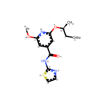 COC[C@H](C)Oc1cc(C(=O)Nc2nccs2)cc(OC(C)C)n1